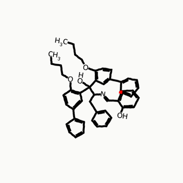 CCCCOc1ccc(-c2ccccc2)cc1C(O)(c1cc(-c2ccccc2)ccc1OCCCC)C(Cc1ccccc1)N=Cc1ccccc1O